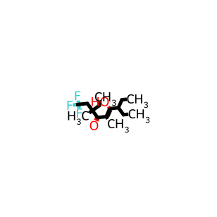 CCC(CC)/C(O)=C(\C)C(=O)C(C)(CC)CC(F)(F)F